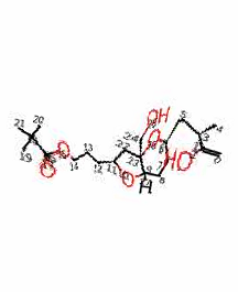 C=C(O)[C@H](C)C[C@H]1CC[C@@H]2O[C@@H](CCCOC(=O)C(C)(C)C)C[C@]2(CO)O1